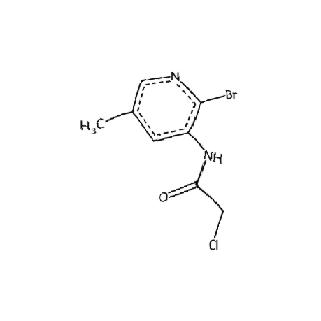 Cc1cnc(Br)c(NC(=O)CCl)c1